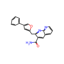 NC(=O)c1cc2cccnc2nc1Cc1cc(-c2ccccc2)co1